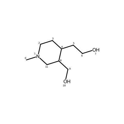 CN1CCC(CCO)C(CO)C1